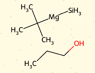 CCCO.C[C](C)(C)[Mg][SiH3]